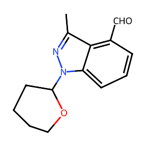 Cc1nn(C2CCCCO2)c2cccc(C=O)c12